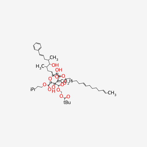 CC=CCCCCC=CCCCCC(=O)O[C@@H]1[C@@H](O)[C@@]2(CCC(C)C(O)C(C)CC=Cc3ccccc3)O[C@H](C(=O)OCCC(C)C)[C@@](O)(C(=O)OCOC(=O)C(C)(C)C)[C@]1(C(=O)O)O2